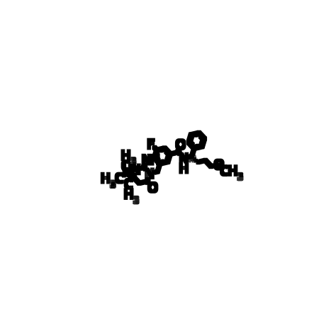 COCCC[C@H](NC(=O)c1cc(F)cc(CN2C(=N)N[C@](C)(C(C)C)CC2=O)c1)c1ccccc1